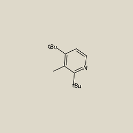 Cc1c(C(C)(C)C)ccnc1C(C)(C)C